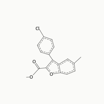 COC(=O)c1oc2ccc(C)cc2c1-c1ccc(Cl)cc1